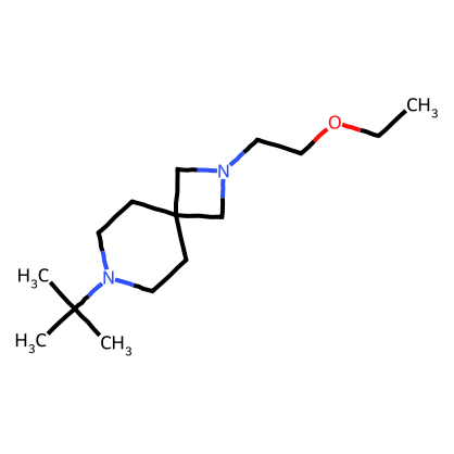 CCOCCN1CC2(CCN(C(C)(C)C)CC2)C1